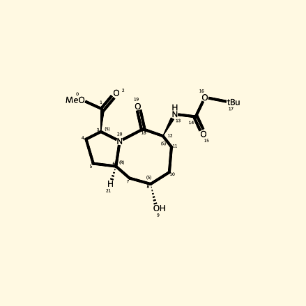 COC(=O)[C@@H]1CC[C@@H]2C[C@@H](O)CC[C@H](NC(=O)OC(C)(C)C)C(=O)N21